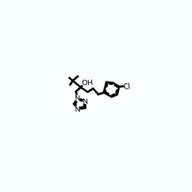 CC(C)(C)C(O)(CCCc1ccc(Cl)cc1)Cn1cncn1